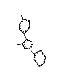 COc1ccc(-c2nn(-c3ccccc3)cc2C)cc1